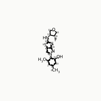 Cc1cc(C)c(-n2cc3sc(N[C@H]4COC[C@@H]4F)nc3n2)c(O)c1